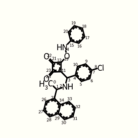 CC(NC(c1ccc(Cl)cc1)c1c(ONc2ccccc2)c(=O)c1=O)c1cccc2ccccc12